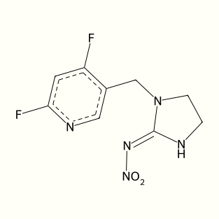 O=[N+]([O-])N=C1NCCN1Cc1cnc(F)cc1F